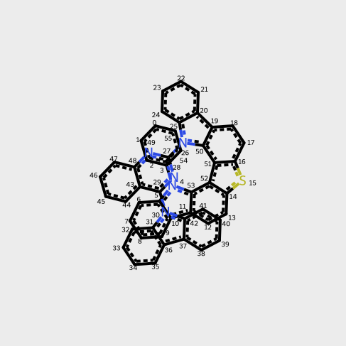 c1ccc(-n2c3ccccc3c3ccc4sc5ccc6c7ccccc7n(-c7nc(-n8c9ccccc9c9ccccc98)c8ccccc8n7)c6c5c4c32)cc1